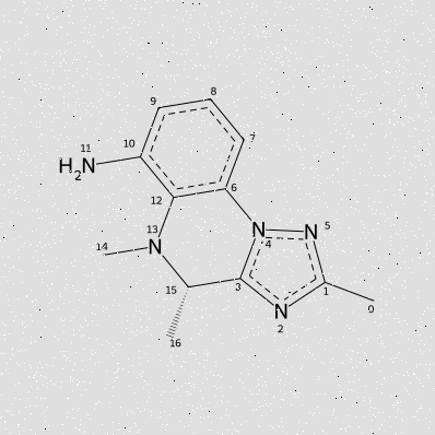 Cc1nc2n(n1)-c1cccc(N)c1N(C)[C@H]2C